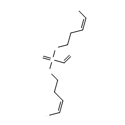 C=CP(=O)(OCC/C=C\CCC)OCC/C=C\CCC